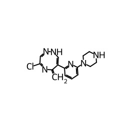 C=C1/N=C(Cl)\C=N/N/C=C\1c1cccc(N2CCNCC2)n1